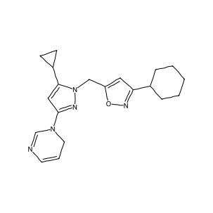 C1=CN=CN(c2cc(C3CC3)n(Cc3cc(C4CCCCC4)no3)n2)C1